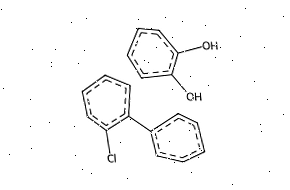 Clc1ccccc1-c1ccccc1.Oc1ccccc1O